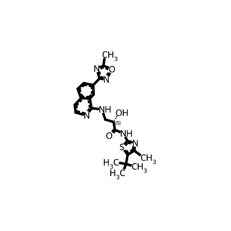 Cc1nc(-c2ccc3ccnc(NC[C@H](O)C(=O)Nc4nc(C)c(C(C)(C)C)s4)c3c2)no1